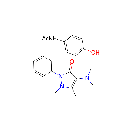 CC(=O)Nc1ccc(O)cc1.Cc1c(N(C)C)c(=O)n(-c2ccccc2)n1C